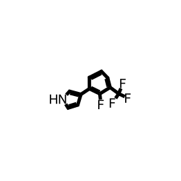 Fc1c(-c2cc[nH]c2)cccc1C(F)(F)F